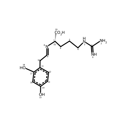 N=C(N)NCCC[C@H](N=CCc1ccc(O)cc1O)C(=O)O